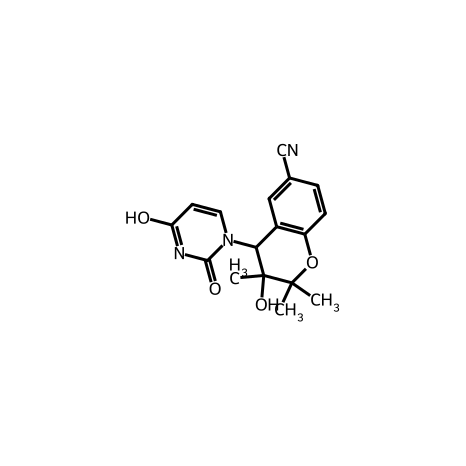 CC1(C)Oc2ccc(C#N)cc2C(n2ccc(O)nc2=O)C1(C)O